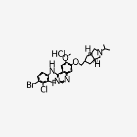 COc1cc2c(Nc3ccc(Br)c(Cl)c3F)ncnc2cc1OCC1C[C@@H]2CN(C(C)C)C[C@@H]2C1.Cl